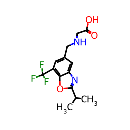 CC(C)c1nc2cc(CNCC(=O)O)cc(C(F)(F)F)c2o1